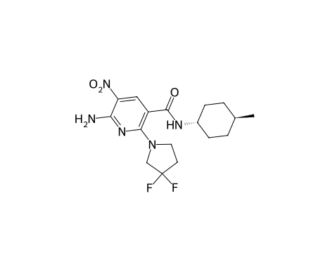 C[C@H]1CC[C@H](NC(=O)c2cc([N+](=O)[O-])c(N)nc2N2CCC(F)(F)C2)CC1